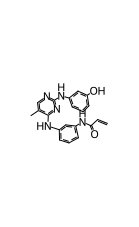 C=CC(=O)Nc1cccc(Nc2nc(Nc3cccc(O)c3)ncc2C)c1